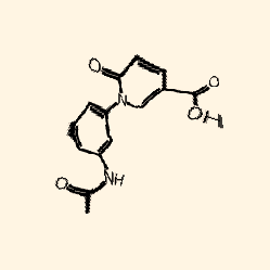 CC(=O)Nc1cccc(-n2cc(C(=O)O)ccc2=O)c1